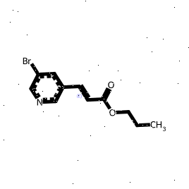 CCCOC(=O)/C=C/c1cncc(Br)c1